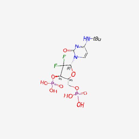 CC(C)(C)Nc1ccn([C@@H]2O[C@H](COP(=O)(O)O)[C@@H](OP(=O)(O)O)C2(F)F)c(=O)n1